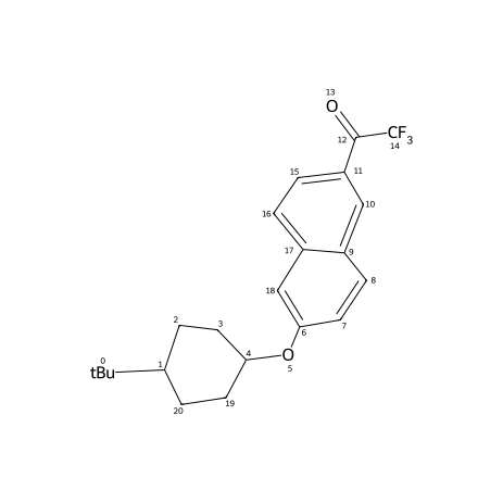 CC(C)(C)C1CCC(Oc2ccc3cc(C(=O)C(F)(F)F)ccc3c2)CC1